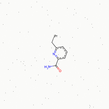 CC(C)Cc1cccc(C(N)=O)n1